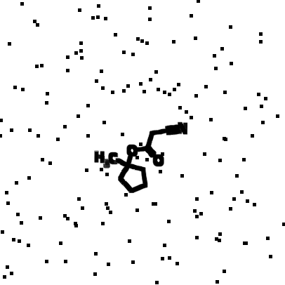 CC1(OC(=O)CC#N)CCCC1